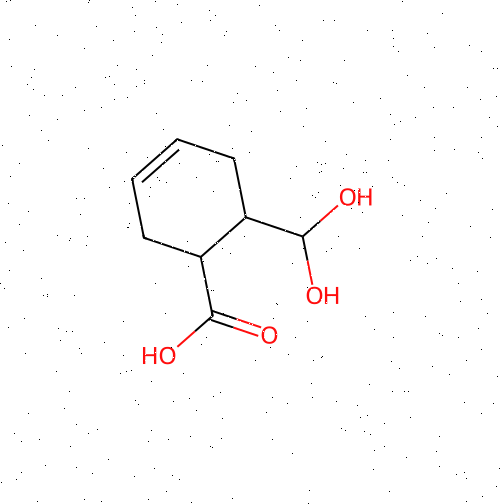 O=C(O)C1CC=CCC1C(O)O